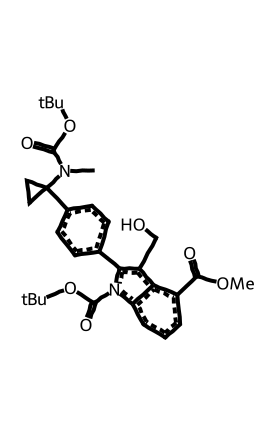 COC(=O)c1cccc2c1c(CO)c(-c1ccc(C3(N(C)C(=O)OC(C)(C)C)CC3)cc1)n2C(=O)OC(C)(C)C